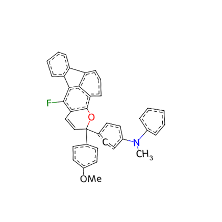 COc1ccc(C2(c3ccc(N(C)c4ccccc4)cc3)C=Cc3c(F)c4c5c(cccc5c3O2)-c2ccccc2-4)cc1